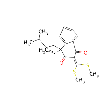 C=CC1(CCC(C)C)C(=O)C(=C(SC)SC)C(=O)c2ccccc21